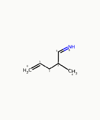 C=CCC(C)C=N